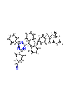 C[C@@H]1CC2C[C@@H](C1)CC(C)(c1ccc(-c3c4ccccc4c(-c4nc(-c5ccccc5)nc(-c5ccc(C#N)cc5)n4)c4ccccc34)cc1)C2